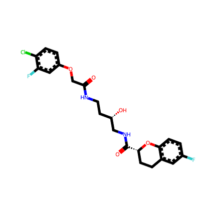 O=C(COc1ccc(Cl)c(F)c1)NCC[C@H](O)CNC(=O)[C@H]1CCc2cc(F)ccc2O1